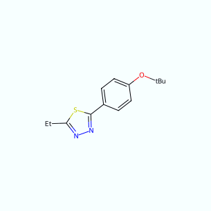 CCc1nnc(-c2ccc(OC(C)(C)C)cc2)s1